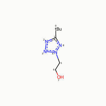 CC(C)(C)c1nnn(CCO)n1